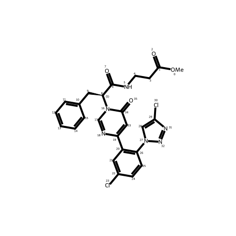 COC(=O)CCNC(=O)[C@H](Cc1ccccc1)n1cnc(-c2cc(Cl)ccc2-n2cc(Cl)nn2)cc1=O